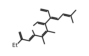 C=CC(=C\C=C(C)C)/C(=C/C)C(/C)=C(C)\C(C)=C\C(=C)CC